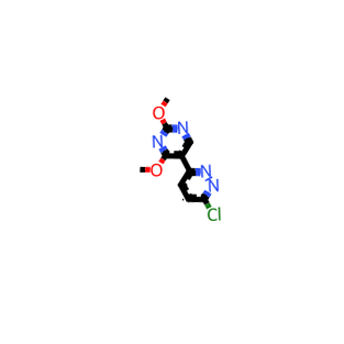 COc1ncc(-c2c[c]c(Cl)nn2)c(OC)n1